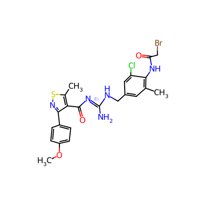 COc1ccc(-c2nsc(C)c2C(=O)/N=C(\N)NCc2cc(C)c(NC(=O)CBr)c(Cl)c2)cc1